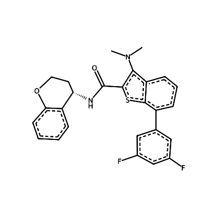 CN(C)c1c(C(=O)N[C@H]2CCOc3ccccc32)sc2c(-c3cc(F)cc(F)c3)cccc12